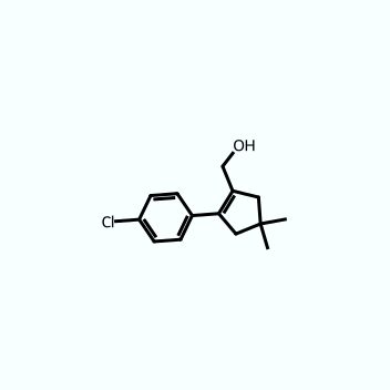 CC1(C)CC(CO)=C(c2ccc(Cl)cc2)C1